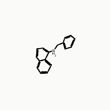 c1ccc(C[SiH2]c2cccc3ccccc23)cc1